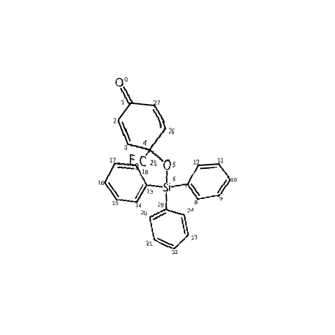 O=C1C=CC(O[Si](c2ccccc2)(c2ccccc2)c2ccccc2)(C(F)(F)F)C=C1